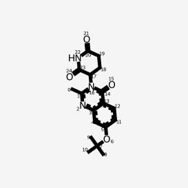 Cc1nc2cc(OC(C)(C)C)ccc2c(=O)n1C1CCC(=O)NC1=O